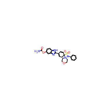 NC(=O)Oc1ccc2[nH]c(C3=CCC4(C=C3)[N+]3(CCOCC3)N(c3ccccc3)S4(=O)=O)nc2c1